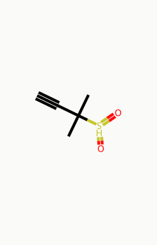 C#CC(C)(C)[SH](=O)=O